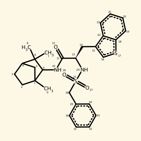 CC12CCC(C1)C(C)(C)C2NC(=O)[C@@H](Cc1csc2ccccc12)NS(=O)(=O)Cc1ccccc1